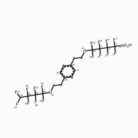 O=S(=O)(O)C(F)(F)C(F)(F)C(F)(F)C(F)(F)OCCc1ccc(CCOC(F)(F)C(F)(F)C(F)(F)C(F)F)cc1